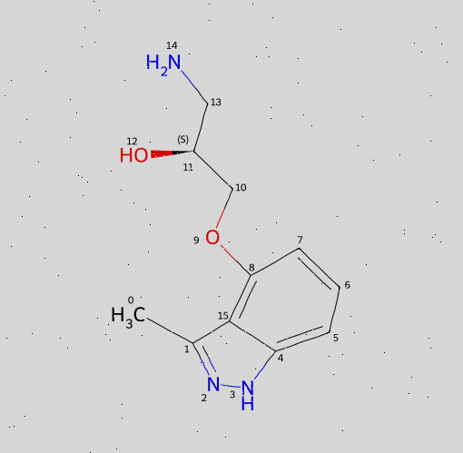 Cc1n[nH]c2cccc(OC[C@@H](O)CN)c12